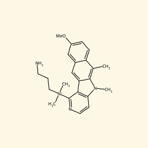 COc1ccc2c(C)c3c(cc2c1)c1c([N+](C)(C)CCCN)nccc1n3C